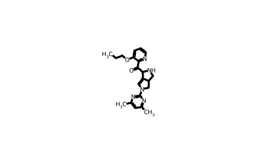 CCCOc1cccnc1C(=O)C1NCC2CN(c3nc(C)cc(C)n3)C=C21